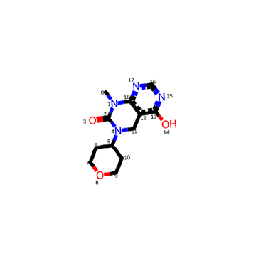 CN1C(=O)N(C2CCOCC2)Cc2c(O)ncnc21